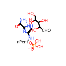 CCCCCNc1c[nH]c(C(N)=O)n1.O=CC(O)C(O)C(O)CO.O=P(O)(O)O